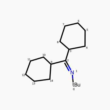 CC(C)(C)N=C(C1CCCCC1)C1CCCCC1